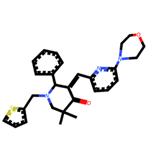 CC1(C)CN(Cc2cccs2)C(c2ccccc2)C(=Cc2cccc(N3CCOCC3)n2)C1=O